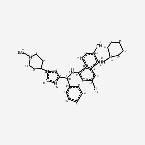 CC(C)(C)N1CCC(n2cc([C@@H](Nc3cc(Cl)cc4c(NN5CCCCC5)c(C#N)cnc34)c3ccccc3)nn2)CC1